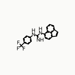 N=C(Nc1ccc(C(F)(F)F)cc1)Nc1ccc2c3c(cccc13)C=C2